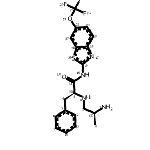 C[C@H](N)CN[C@@H](Cc1ccccc1)C(=O)Nc1nc2ccc(OC(F)(F)F)cc2s1